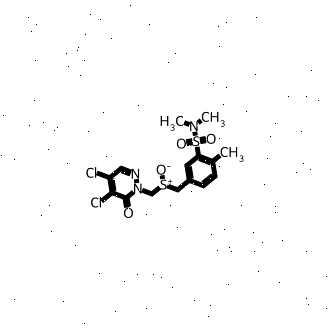 Cc1ccc(C[S+]([O-])Cn2ncc(Cl)c(Cl)c2=O)cc1S(=O)(=O)N(C)C